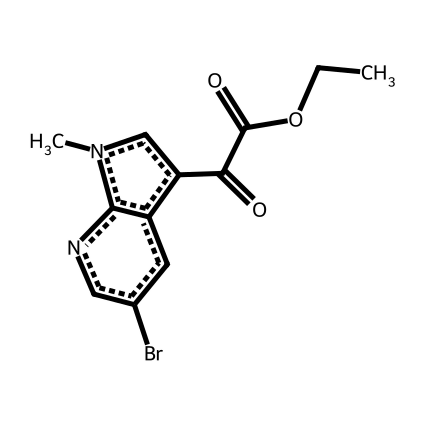 CCOC(=O)C(=O)c1cn(C)c2ncc(Br)cc12